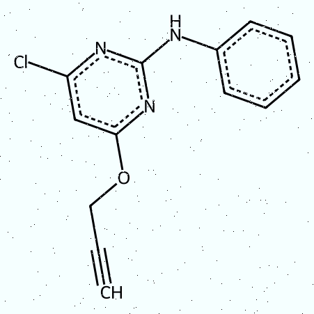 C#CCOc1cc(Cl)nc(Nc2ccccc2)n1